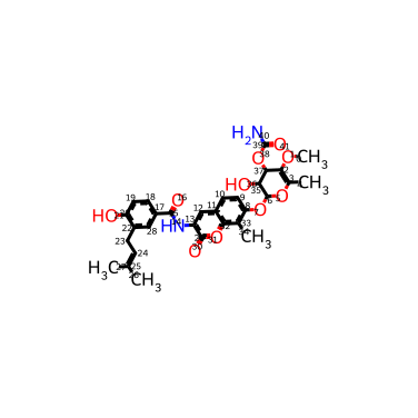 COC1=C(C)OC(Oc2ccc3cc(NC(=O)c4ccc(O)c(CC=C(C)C)c4)c(=O)oc3c2C)C(O)C1OC(N)=O